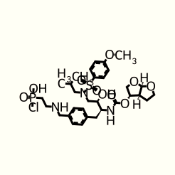 COc1ccc(S(=O)(=O)N(CC(C)C)C[C@@H](O)[C@H](Cc2ccc(CNCCP(=O)(O)Cl)cc2)NC(=O)O[C@H]2CO[C@H]3OCC[C@H]32)cc1